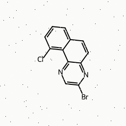 Clc1cccc2ccc3nc(Br)cnc3c12